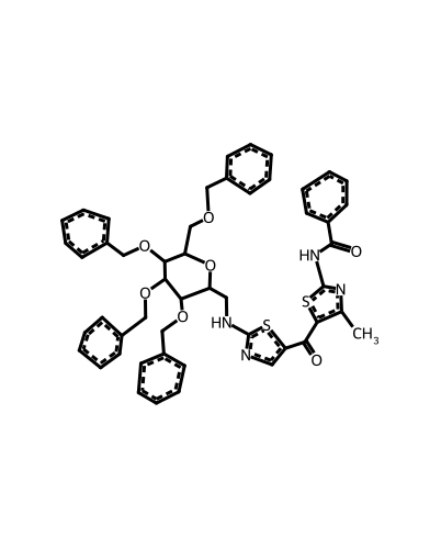 Cc1nc(NC(=O)c2ccccc2)sc1C(=O)c1cnc(NCC2OC(COCc3ccccc3)C(OCc3ccccc3)C(OCc3ccccc3)C2OCc2ccccc2)s1